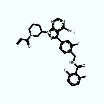 C=CC(=O)N1CCCC(n2nc(-c3ccc(CNC(=O)c4c(F)cccc4F)c(F)c3)c3c(N)ncnc32)C1